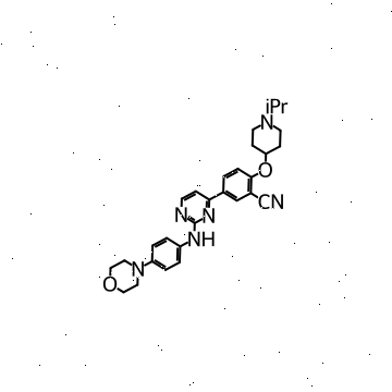 CC(C)N1CCC(Oc2ccc(-c3ccnc(Nc4ccc(N5CCOCC5)cc4)n3)cc2C#N)CC1